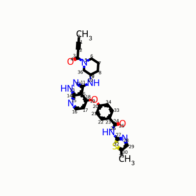 CC#CC(=O)N1CCC[C@@H](Nc2n[nH]c3nccc(Oc4ccc(C(=O)Nc5ncc(C)s5)cc4)c23)C1